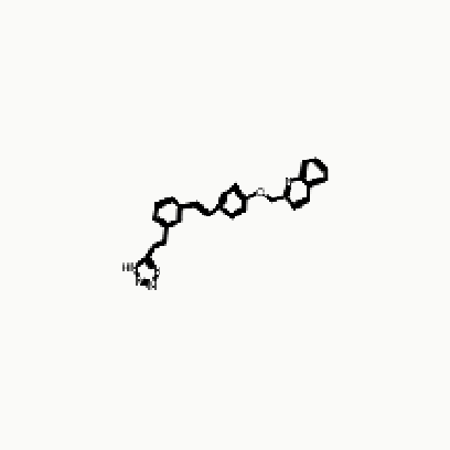 C(=C\c1cccc(CCc2nnn[nH]2)c1)/c1ccc(OCc2ccc3ccccc3n2)cc1